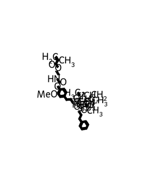 C=C[Si](C)(C)O[Si](C)(C)O[Si](C)(CCCc1ccccc1)O[Si](C)(CCCc1ccc(OC(=O)NCCOC(=O)C(=C)C)c(OC)c1)O[Si](C)(C)C=C